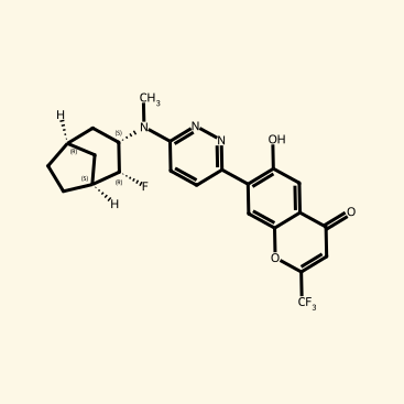 CN(c1ccc(-c2cc3oc(C(F)(F)F)cc(=O)c3cc2O)nn1)[C@H]1C[C@@H]2CC[C@@H](C2)[C@H]1F